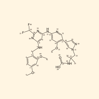 COc1ccc(CNc2cc(Nc3cc(OC)c(-c4cnn(CC(C)(C)NC(=O)O)c4)cn3)nc(C(F)F)n2)c(OC)c1